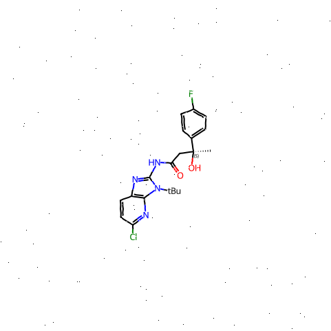 CC(C)(C)n1c(NC(=O)C[C@](C)(O)c2ccc(F)cc2)nc2ccc(Cl)nc21